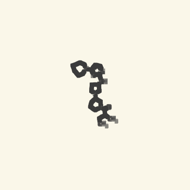 CCC(C)C(=O)N1CCCC(N2CCC(Nc3nccc(N4CCCCCC4)n3)C2)C1